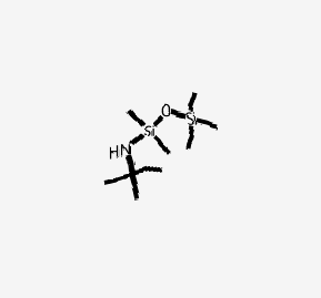 CC(C)(C)N[Si](C)(C)O[Si](C)(C)C